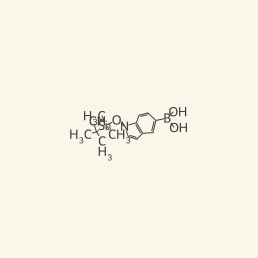 CC(C)(C)[Si](C)(C)On1ccc2cc(B(O)O)ccc21